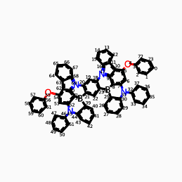 c1ccc(Oc2cc3c4c5c2c2ccccc2n5-c2cc5c(cc2B4c2ccccc2N3c2ccccc2)B2c3ccccc3N(c3ccccc3)c3cc(Oc4ccccc4)c4c6ccccc6n-5c4c32)cc1